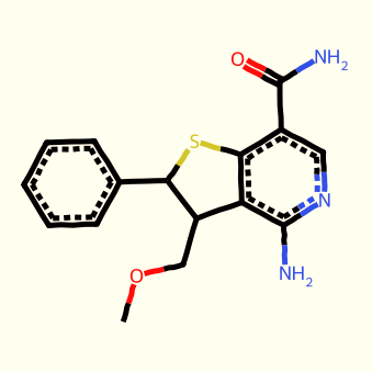 COCC1c2c(N)ncc(C(N)=O)c2SC1c1ccccc1